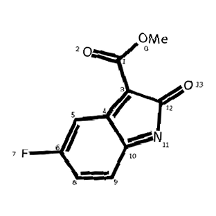 COC(=O)C1=c2cc(F)ccc2=NC1=O